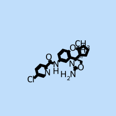 C[C@]12CCC[C@H]1[C@@]1(COC(N)=N1)c1cc(NC(=O)c3ccc(Cl)cn3)ccc1O2